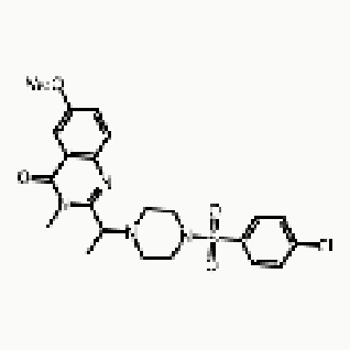 COc1ccc2nc(C(C)N3CCN(S(=O)(=O)c4ccc(Cl)cc4)CC3)n(C)c(=O)c2c1